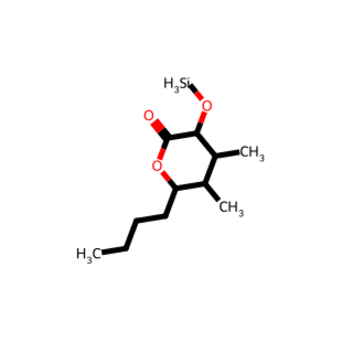 CCCCC1OC(=O)C(O[SiH3])C(C)C1C